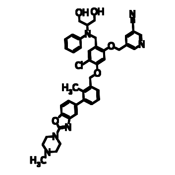 Cc1c(COc2cc(OCc3cncc(C#N)c3)c(CN(c3ccccc3)C(CO)CO)cc2Cl)cccc1-c1ccc2oc(N3CCN(C)CC3)nc2c1